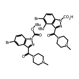 CN1CCN(C(=O)c2nn(C(=O)O)c3ccc(Br)c(C(C)(C)C)c23)CC1.CN1CCN(C(=O)c2nn(C(=O)OC(C)(C)C)c3ccc(Br)cc23)CC1